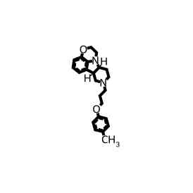 Cc1ccc(OCCCN2CC[C@H]3[C@@H](C2)c2cccc4c2N3CCO4)cc1